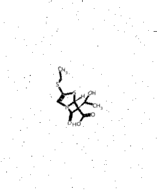 CCSC1=CN2C(=O)[C@](C(=O)O)(C(C)O)[C@H]2S1